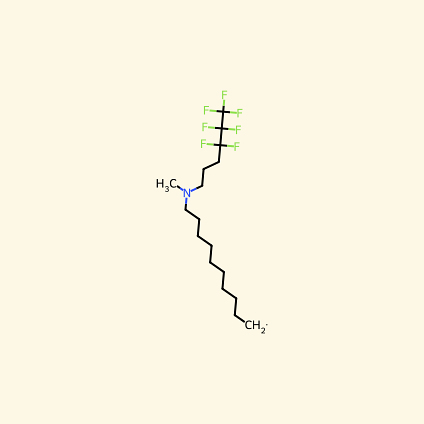 [CH2]CCCCCCCCCN(C)CCCC(F)(F)C(F)(F)C(F)(F)F